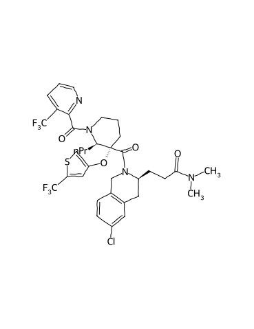 CCC[C@H]1N(C(=O)c2ncccc2C(F)(F)F)CCC[C@@]1(Oc1csc(C(F)(F)F)c1)C(=O)N1Cc2ccc(Cl)cc2C[C@@H]1CCC(=O)N(C)C